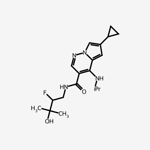 CC(C)Nc1c(C(=O)NCC(F)C(C)(C)O)cnn2cc(C3CC3)cc12